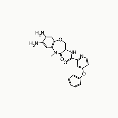 CN1C(=O)C(NC(=O)c2cc(Oc3ccccc3)ccn2)COc2cc(N)c(N)cc21